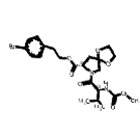 COC(=O)N[C@H](C(=O)N1CC2(C[C@H]1C(=O)OCCc1ccc(Br)cc1)OCCO2)C(C)C